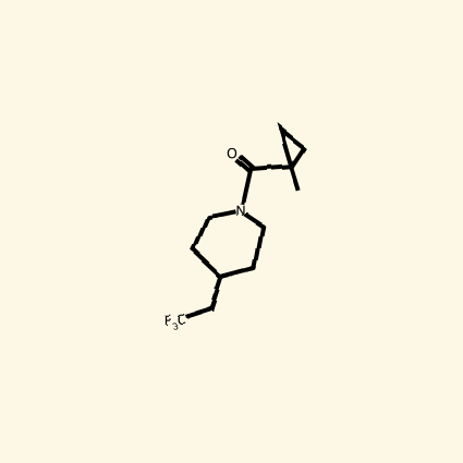 CC1(C(=O)N2CCC(CC(F)(F)F)CC2)CC1